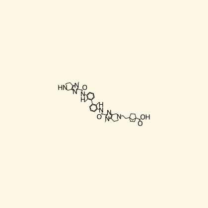 Cc1c(NC(=O)c2nc3c(n2C)CCNC3)cccc1-c1cccc(NC(=O)c2nc3c(n2C)CCN(CCC24CCC(C(=O)O)(CC2)C4)C3)c1C